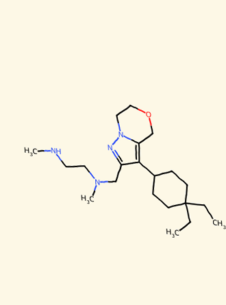 CCC1(CC)CCC(c2c(CN(C)CCNC)nn3c2COCC3)CC1